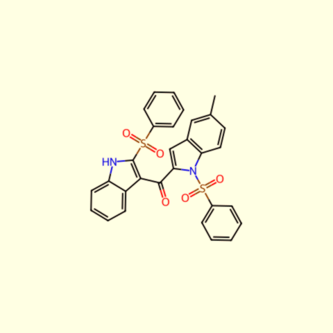 Cc1ccc2c(c1)cc(C(=O)c1c(S(=O)(=O)c3ccccc3)[nH]c3ccccc13)n2S(=O)(=O)c1ccccc1